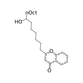 CCCCCCCCC(O)CCCCCCc1cc(=O)c2ccccc2o1